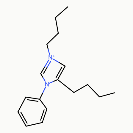 CCCCc1c[n+](CCCC)cn1-c1ccccc1